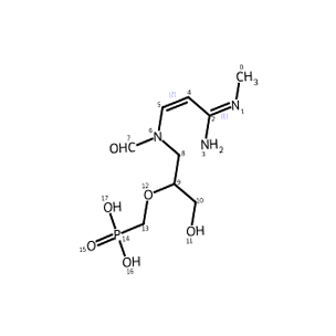 C/N=C(N)\C=C/N(C=O)CC(CO)OCP(=O)(O)O